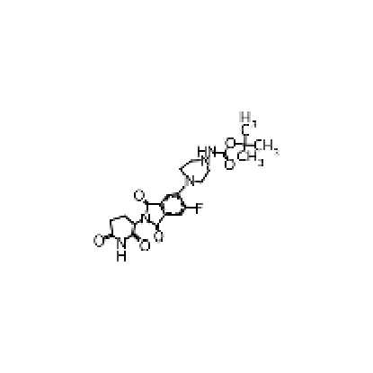 CC(C)(C)OC(=O)NN1CCN(c2cc3c(cc2F)C(=O)N(C2CCC(=O)NC2=O)C3=O)CC1